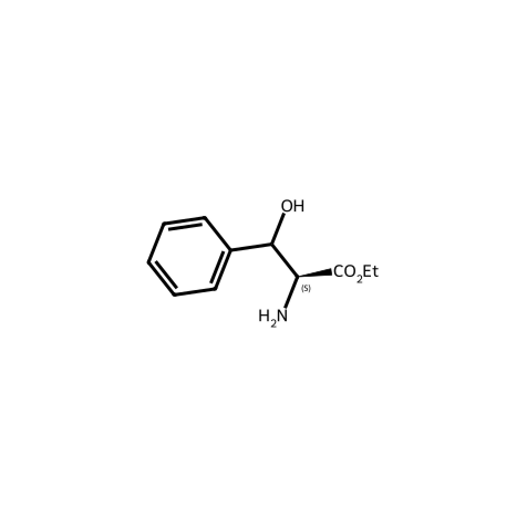 CCOC(=O)[C@@H](N)C(O)c1ccccc1